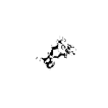 COCCc1nc2c(N)nc3cccnc3c2n1CCNS(C)(=O)=O